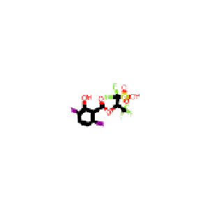 O=C(OC(C(F)(F)F)C(F)(F)S(=O)(=O)O)c1c(I)ccc(I)c1O